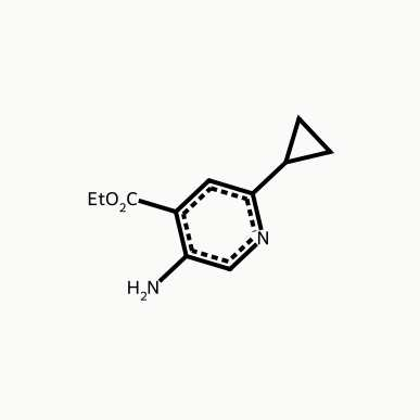 CCOC(=O)c1cc(C2CC2)ncc1N